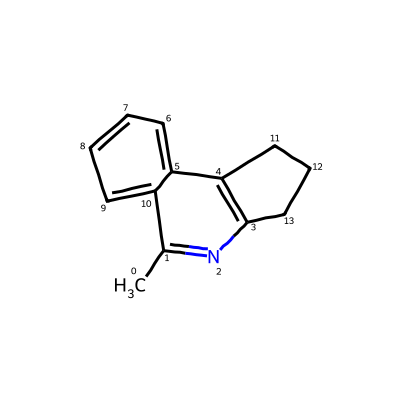 Cc1nc2c(c3ccccc13)CCC2